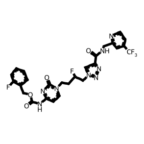 O=C(Nc1ccn(CCC(F)Cn2cc(C(=O)NCc3cc(C(F)(F)F)ccn3)nn2)c(=O)n1)OCc1ccccc1F